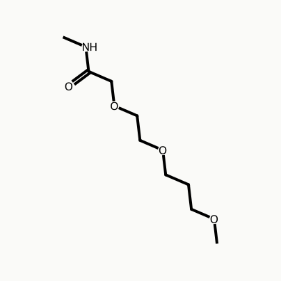 CNC(=O)COCCOCCCOC